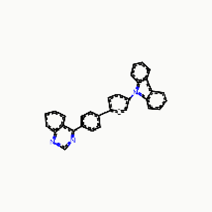 c1ccc2c(-c3ccc(-c4ccc(-n5c6ccccc6c6ccccc65)cc4)cc3)ncnc2c1